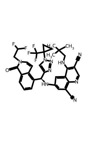 CC(C)(C)CNc1c(C#N)cnc2c(C#N)cc(N[C@H](c3cn(C4(C(F)(F)F)CC4)nn3)c3cccc4c(=O)n(CC(F)F)ccc34)cc12